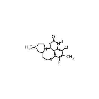 Cc1c(F)c2c3c(nc(=O)n(I)c3c1Cl)N1CCN(C)CC1CCS2